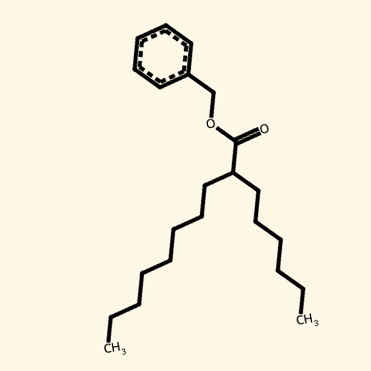 CCCCCCCCC(CCCCCC)C(=O)OCc1ccccc1